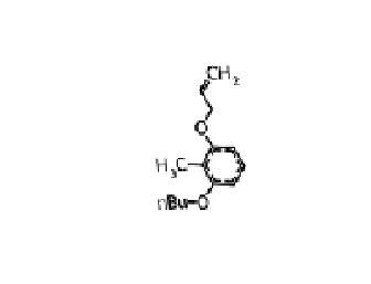 C=CCOc1cccc(OCCCC)c1C